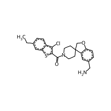 CCc1ccc2c(Cl)c(C(=O)N3CCC4(CC3)COc3ccc(CN)cc34)sc2c1